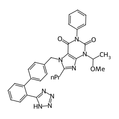 CCCc1nc2c(c(=O)n(-c3ccccc3)c(=O)n2C(C)OC)n1Cc1ccc(-c2ccccc2-c2nnn[nH]2)cc1